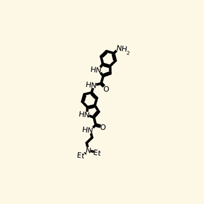 CCN(CC)CCNC(=O)c1cc2cc(NC(=O)c3cc4cc(N)ccc4[nH]3)ccc2[nH]1